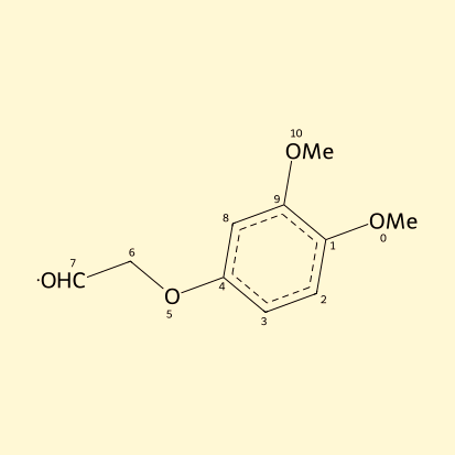 COc1ccc(OC[C]=O)cc1OC